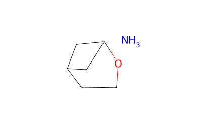 C1CC2CC(C2)O1.N